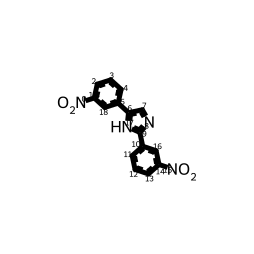 O=[N+]([O-])c1cccc(-c2cnc(-c3cccc([N+](=O)[O-])c3)[nH]2)c1